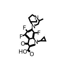 CC1CN(c2c(F)c(F)c3c(=O)c(C(=O)O)cn(C4CC4)c3c2F)C2CCN1C2